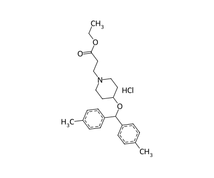 CCOC(=O)CCN1CCC(OC(c2ccc(C)cc2)c2ccc(C)cc2)CC1.Cl